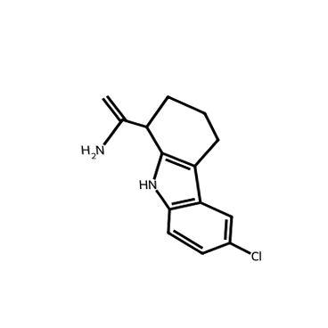 C=C(N)C1CCCc2c1[nH]c1ccc(Cl)cc21